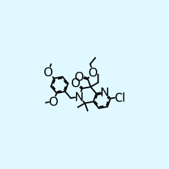 CCOC(=O)C1(CC)C(=O)N(Cc2ccc(OC)cc2OC)C(C)(C)c2ccc(Cl)nc21